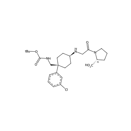 CC(C)(C)OC(=O)NC[C@]1(c2cccc(Cl)c2)CC[C@H](NCC(=O)N2CCC[C@@H]2C(=O)O)CC1